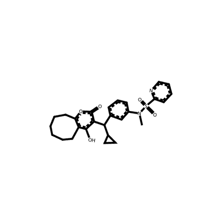 CN(c1cccc(C(c2c(O)c3c(oc2=O)CCCCCC3)C2CC2)c1)S(=O)(=O)c1ccccn1